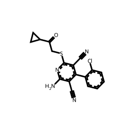 N#Cc1c(N)nc(SCC(=O)C2CC2)c(C#N)c1-c1ccccc1Cl